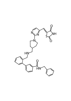 O=C1NC(=O)C(=Cc2ccnc(N3CCC(CNCc4ccccc4-c4cccc(C(=O)NCc5ccccc5)c4)CC3)n2)S1